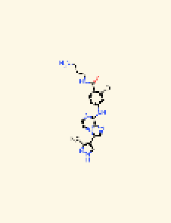 CCc1cc(Nc2nccn3c(-c4c[nH]nc4C(F)(F)F)cnc23)ccc1C(=O)NCCCN